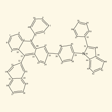 c1ccc(-c2c3ccccc3c(-c3ccc4ccccc4c3)c3ccc(-c4ccc(-n5c(-c6ccccc6)cc6ccccc65)cc4)cc23)cc1